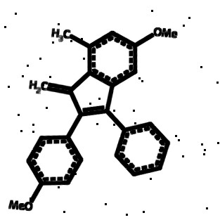 C=C1C(c2ccc(OC)cc2)=C(c2ccccc2)c2cc(OC)cc(C)c21